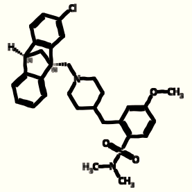 COc1ccc(S(=O)(=O)N(C)C)c(CC2CCN(C[C@@]34C[C@@H](c5ccccc53)c3ccc(Cl)cc34)CC2)c1